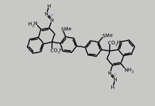 [H]/N=N/C1=C(N)c2ccccc2C(C(=O)O)(c2ccc(-c3ccc(C4(C(=O)O)CC(/N=N/[H])=C(N)c5ccccc54)c(SC)c3)cc2SC)C1